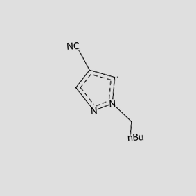 CCCCCn1[c]c(C#N)cn1